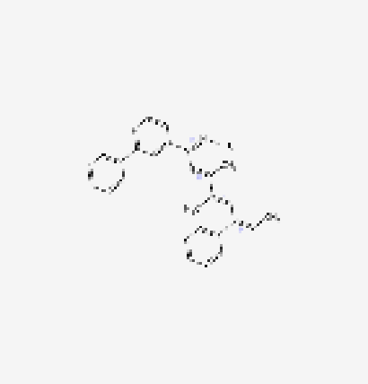 C\C=C(/C=C(C)/C(C)=N/C(=N\C)c1cccc(-c2ccccc2)c1)c1ccccc1